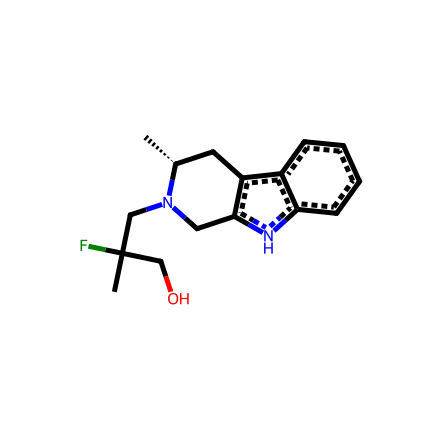 C[C@@H]1Cc2c([nH]c3ccccc23)CN1CC(C)(F)CO